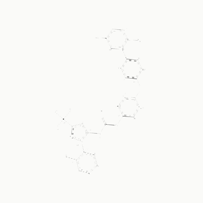 Cc1cnc(N)c(-c2ccc(Oc3ncc(NC(=O)Nc4cc(C(C)(C)C)nn4-c4ccccc4C)cn3)cc2)c1